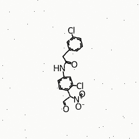 O=CC(c1ccc(NC(=O)Cc2cccc(Cl)c2)cc1Cl)[N+](=O)[O-]